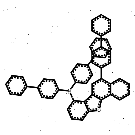 c1ccc(-c2ccc(-c3cc4c(oc5cccc(N(c6ccc(-c7ccccc7)cc6)c6ccc(-c7ccccc7)cc6)c54)c4ccccc34)cc2)cc1